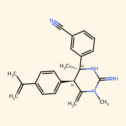 C=C(C)c1ccc([C@@H]2C(=C)N(C)C(=N)N[C@]2(C)c2cccc(C#N)c2)cc1